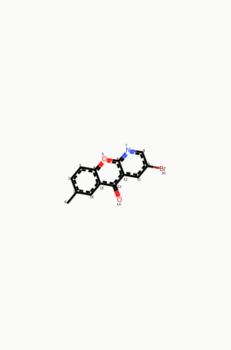 Cc1ccc2oc3ncc(Br)cc3c(=O)c2c1